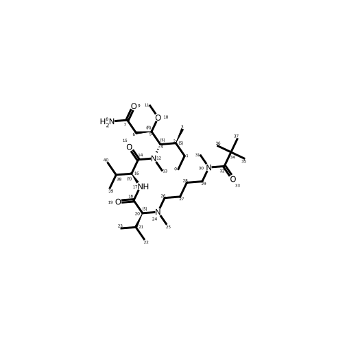 CC[C@H](C)[C@@H]([C@@H](CC(N)=O)OC)N(C)C(=O)[C@@H](NC(=O)[C@H](C(C)C)N(C)CCCCN(C)C(=O)C(C)(C)C)C(C)C